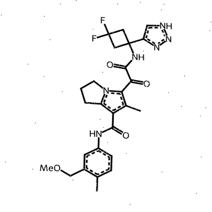 COCc1cc(NC(=O)c2c(C)c(C(=O)C(=O)NC3(c4c[nH]nn4)CC(F)(F)C3)n3c2CCC3)ccc1C